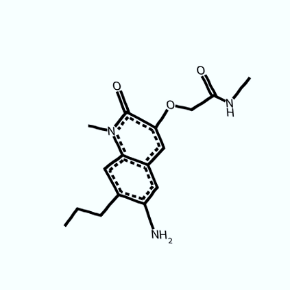 CCCc1cc2c(cc1N)cc(OCC(=O)NC)c(=O)n2C